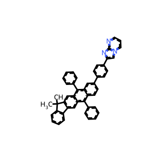 CC1(C)c2ccccc2-c2cc3c(-c4ccccc4)c4ccc(-c5ccc(-c6cn7cccnc7n6)cc5)cc4c(-c4ccccc4)c3cc21